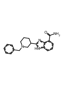 NC(=O)c1cccc2[nH]c(C3CCCN(Cc4ccccc4)C3)nc12